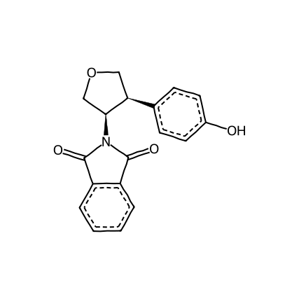 O=C1c2ccccc2C(=O)N1[C@H]1COC[C@H]1c1ccc(O)cc1